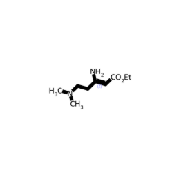 CCOC(=O)/C=C(\N)CCN(C)C